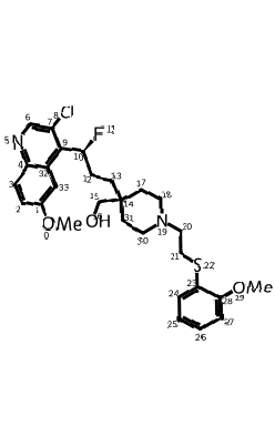 COc1ccc2ncc(Cl)c([C@@H](F)CCC3(CO)CCN(CCSc4ccccc4OC)CC3)c2c1